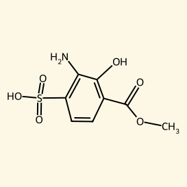 COC(=O)c1ccc(S(=O)(=O)O)c(N)c1O